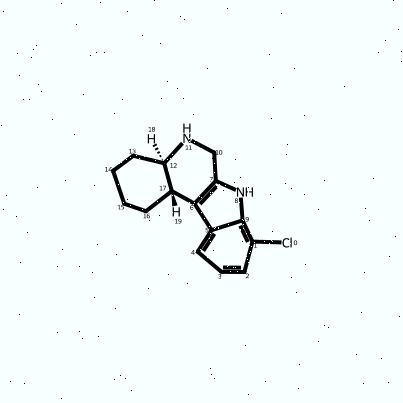 Clc1cccc2c3c([nH]c12)CN[C@@H]1CCCC[C@@H]31